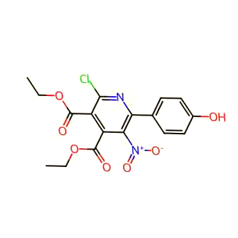 CCOC(=O)c1c(Cl)nc(-c2ccc(O)cc2)c([N+](=O)[O-])c1C(=O)OCC